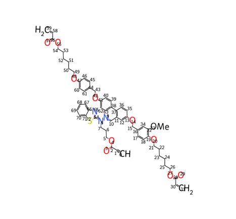 C#CC(=O)OCCCN(/N=C/c1cc(OCc2ccc(OCCCCCCOC(=O)C=C)c(OC)c2)ccc1-c1ccc(OCc2ccc(OCCCCCCOC(=O)C=C)cc2)cc1)c1nc2ccccc2s1